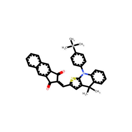 CC1(C)c2ccccc2N(c2ccc([Si](C)(C)C)cc2)c2sc(C=C3C(=O)c4cc5ccccc5cc4C3=O)cc21